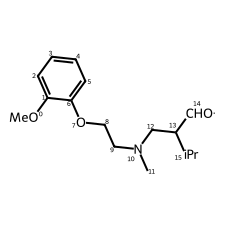 COc1ccccc1OCCN(C)CC([C]=O)C(C)C